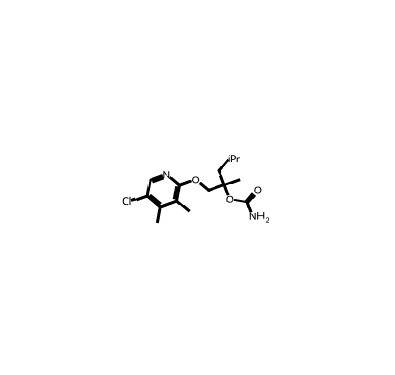 Cc1c(Cl)cnc(OCC(C)(CC(C)C)OC(N)=O)c1C